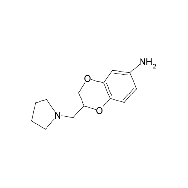 Nc1ccc2c(c1)OCC(CN1CCCC1)O2